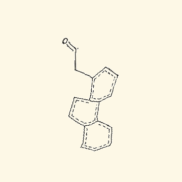 O=[C]Cc1cccc2c1ccc1ccccc12